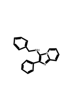 c1ccc(CNc2c(-c3ccccc3)nc3ccccn23)cc1